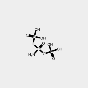 NP(=O)(OP(=O)(O)O)OP(=O)(O)O